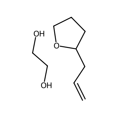 C=CCC1CCCO1.OCCO